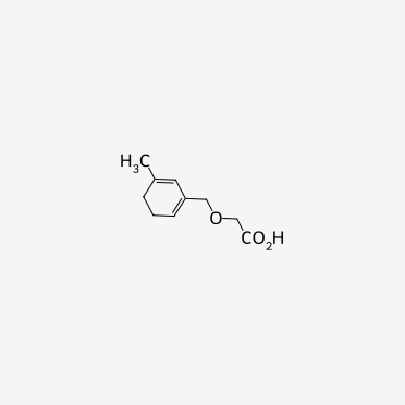 CC1=CC(COCC(=O)O)=CCC1